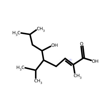 C/C(=C\CC(C(C)C)C(O)CC(C)C)C(=O)O